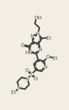 CCOc1ncc(S(=O)(=O)N2CCN(CC)CC2)cc1-c1nc2c(CC)n(CCO)nc2c(=O)[nH]1